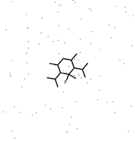 CC(C)C1C(C)CC(C)C(C(C)C)C1(C)F